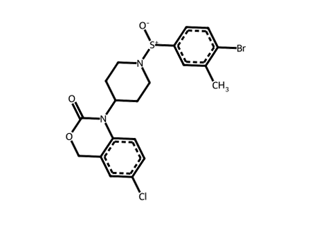 Cc1cc([S+]([O-])N2CCC(N3C(=O)OCc4cc(Cl)ccc43)CC2)ccc1Br